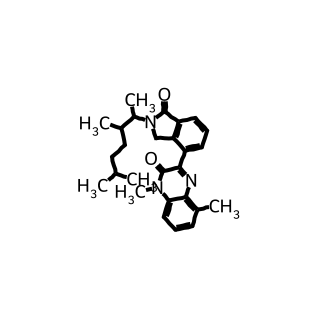 Cc1cccc2c1nc(-c1cccc3c1CN(C(C)C(C)CCC(C)C)C3=O)c(=O)n2C